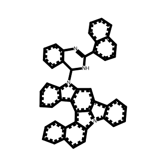 c1ccc2c(c1)N=C(c1cccc3ccccc13)NC2n1c2ccccc2c2c3c4c5ccccc5ccc4n4c5ccccc5c(cc21)c34